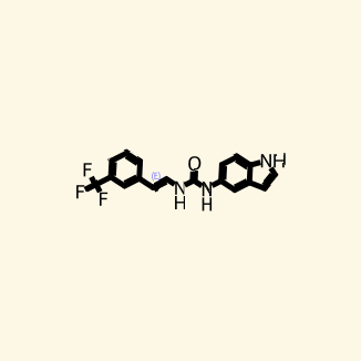 O=C(N/C=C/c1cccc(C(F)(F)F)c1)Nc1ccc2[nH]ccc2c1